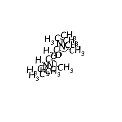 CC(C)CC(C)(N=NC(C)(C)C)OOC(C)(CC(C)C)N=NC(C)(C)C